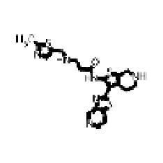 Cc1ncc(CNCCC(=O)Nc2sc3c(c2-c2nc4cnccc4s2)CCNC3)s1